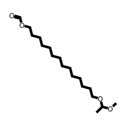 COC(C)OCCCCCCCCCCCCCCO[C]=O